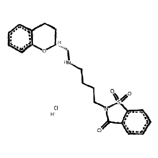 O=C1c2ccccc2S(=O)(=O)N1CCCCNC[C@H]1CCc2ccccc2O1.[Cl-].[H+]